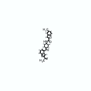 Cc1ccc2oc(C(=O)NC3CCC(Pc4cccc5nc(C(C)F)cn45)CC3)cc2c1